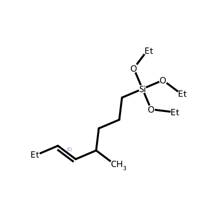 CC/C=C/C(C)CCC[Si](OCC)(OCC)OCC